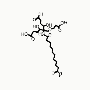 COC(=O)CCCCCCCCCCC(=O)NC(COCCC(=O)O)(C(O)CCC(=O)O)C(O)CCC(=O)O